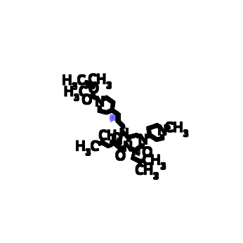 CC(C)C[C@H]1ON(C/C=C/C2CCN(C(=O)OC(C)(C)C)CC2)C2CN(C3CCN(C)CC3)C(=O)[C@H](CC(C)C)N2C1=O